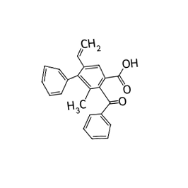 C=Cc1cc(C(=O)O)c(C(=O)c2ccccc2)c(C)c1-c1ccccc1